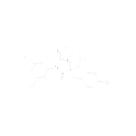 CCC1(Cc2ccc(Br)cc2)C(=O)N(c2cc(Cl)cc(Cl)c2)c2nccn21